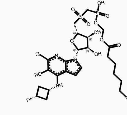 CCCCCCCCCCCCCCCC(=O)OCOP(=O)(O)CS(=O)(=O)C[C@H]1O[C@@H](n2ccc3c(N[C@H]4C[C@@H](F)C4)c(C#N)c(Cl)nc32)[C@H](O)[C@@H]1O